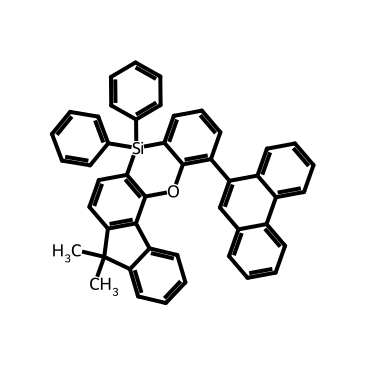 CC1(C)c2ccccc2-c2c1ccc1c2Oc2c(-c3cc4ccccc4c4ccccc34)cccc2[Si]1(c1ccccc1)c1ccccc1